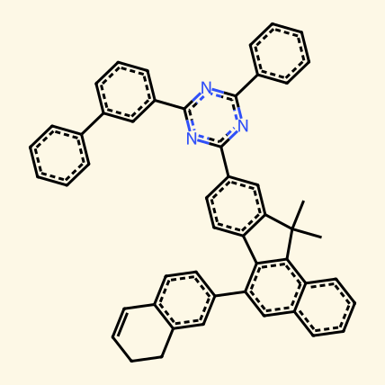 CC1(C)c2cc(-c3nc(-c4ccccc4)nc(-c4cccc(-c5ccccc5)c4)n3)ccc2-c2c(-c3ccc4c(c3)CCC=C4)cc3ccccc3c21